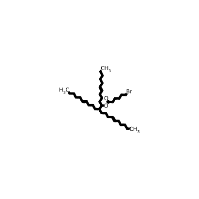 CCCCCC=CCCCC(CCCC=CCCCCC)C(CCCC=CCCCCC)OC(=O)CCCCCBr